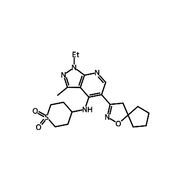 CCn1nc(C)c2c(NC3CCS(=O)(=O)CC3)c(C3=NOC4(CCCC4)C3)cnc21